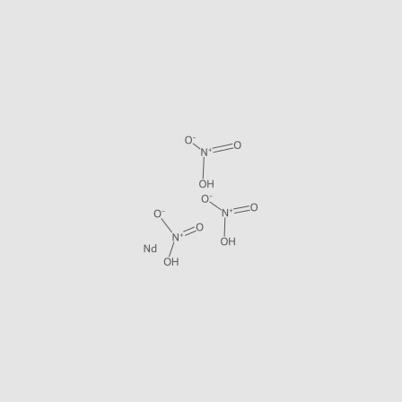 O=[N+]([O-])O.O=[N+]([O-])O.O=[N+]([O-])O.[Nd]